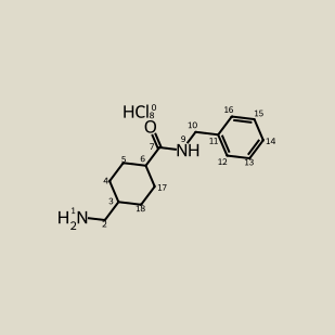 Cl.NCC1CCC(C(=O)NCc2ccccc2)CC1